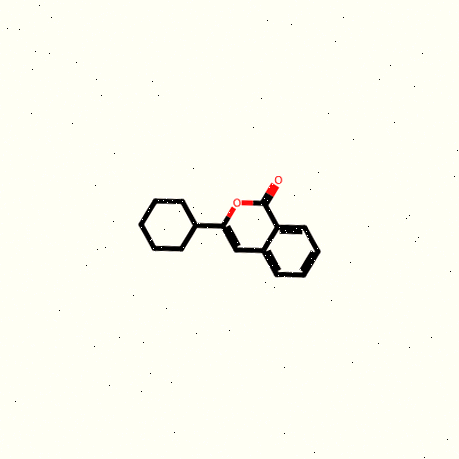 O=c1oc(C2CCCCC2)cc2ccccc12